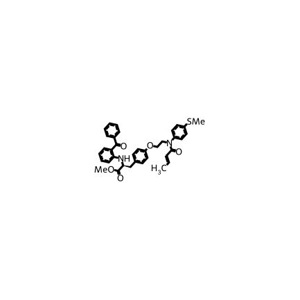 C/C=C/C(=O)N(CCOc1ccc(C[C@H](Nc2ccccc2C(=O)c2ccccc2)C(=O)OC)cc1)c1ccc(SC)cc1